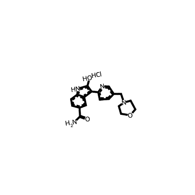 Cl.NC(=O)c1ccc2[nH]c(O)c(-c3ccc(CN4CCOCC4)cn3)c2c1